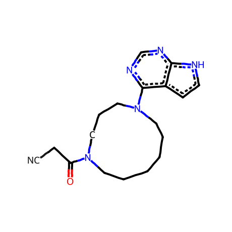 N#CCC(=O)N1CCCCCCN(c2ncnc3[nH]ccc23)CCC1